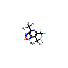 CC(C)(C)c1nc(C(F)(F)F)c(C(C)(C)C)c2nonc12